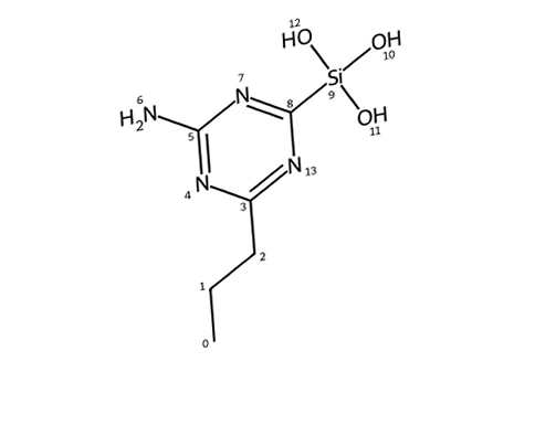 CCCc1nc(N)nc([Si](O)(O)O)n1